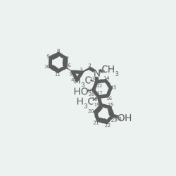 CN(C[C@H]1C[C@@H]1c1ccccc1)[C@@]1(C)CCC[C@@](C)(c2cccc(O)c2)[C@@H]1O